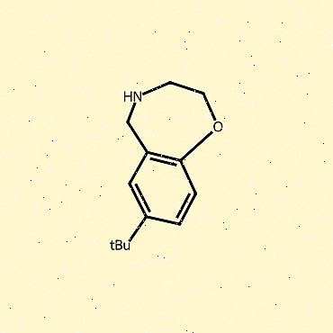 CC(C)(C)c1ccc2c(c1)CNCCO2